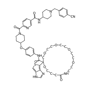 N#Cc1ccc(CN2CCC(NC(=O)c3ccc(C(=O)N4CCC(Oc5ccc(NC(=O)C6(c7scc8[nH]cnc78)COCCOCCOCCOCCNC(=O)CCCO6)cc5)CC4)nc3)CC2)cc1